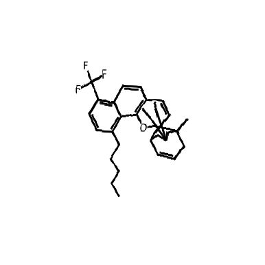 CCCCCc1ccc(C(F)(F)F)c2ccc3c(c12)OC1(C=C3)C2C=CCC1(C)CC(C)(C)C2